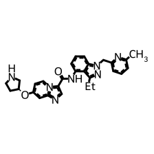 CCc1nn(Cc2cccc(C)n2)c2cccc(NC(=O)c3cnc4cc(O[C@@H]5CCNC5)ccn34)c12